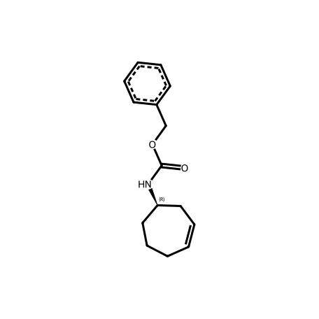 O=C(N[C@H]1CC=CCCC1)OCc1ccccc1